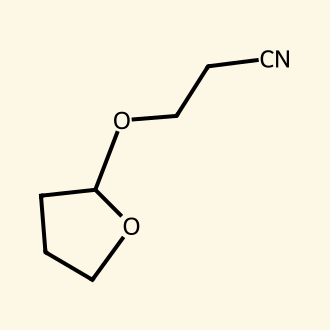 N#CCCOC1CCCO1